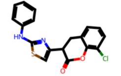 O=C1Oc2c(Cl)cccc2CC1c1csc(Nc2ccccc2)n1